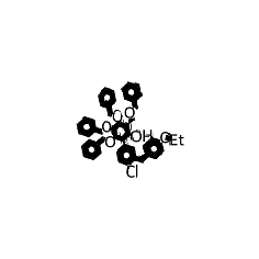 CCOc1ccc(Cc2cc([C@@H]3[C@@H](O)[C@H](COCc4ccccc4)[C@@H](OCc4ccccc4)[C@H](OCc4ccccc4)[C@H]3OCc3ccccc3)ccc2Cl)cc1